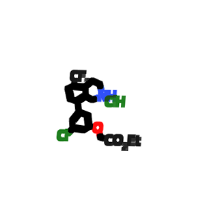 CCOC(=O)COc1cc(Cl)cc(-c2ccc(C(F)(F)F)c3c2CNCC3)c1.Cl